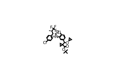 C[C@H]([C@H](C(=O)Nc1cc(C(OC2CC2)C2(C(=O)OC(C)(C)C)CC2)ccc1Cl)c1ccc(Cl)cc1)C(F)(F)F